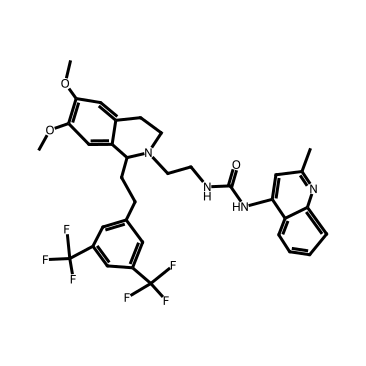 COc1cc2c(cc1OC)C(CCc1cc(C(F)(F)F)cc(C(F)(F)F)c1)N(CCNC(=O)Nc1cc(C)nc3ccccc13)CC2